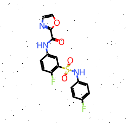 O=C(Nc1ccc(F)c(S(=O)(=O)Nc2ccc(F)cc2)c1)c1ncco1